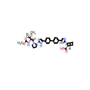 COC(=O)N[C@H](C(=O)N1CCC[C@H]1c1ncc(-c2ccc(-c3ccc(-c4cnc([C@@H]5C6CC[C@H]6[C@H]5C(=O)O)[nH]4)cc3)cc2)[nH]1)C(C)OC